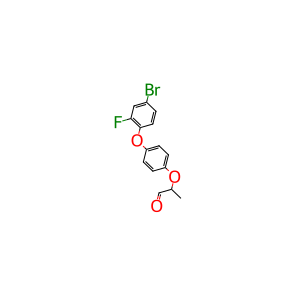 CC(C=O)Oc1ccc(Oc2ccc(Br)cc2F)cc1